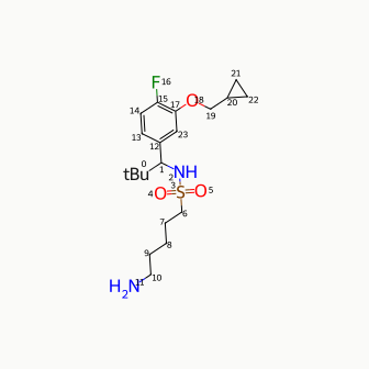 CC(C)(C)C(NS(=O)(=O)CCCCCN)c1ccc(F)c(OCC2CC2)c1